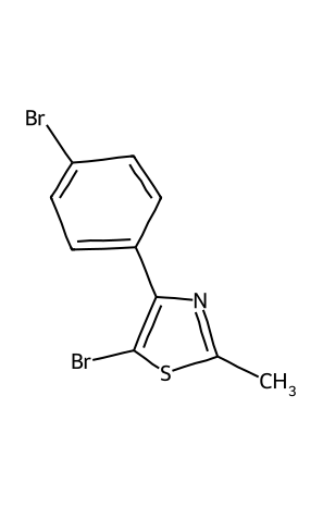 Cc1nc(-c2ccc(Br)cc2)c(Br)s1